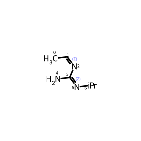 C/C=N\C(N)=N/C(C)C